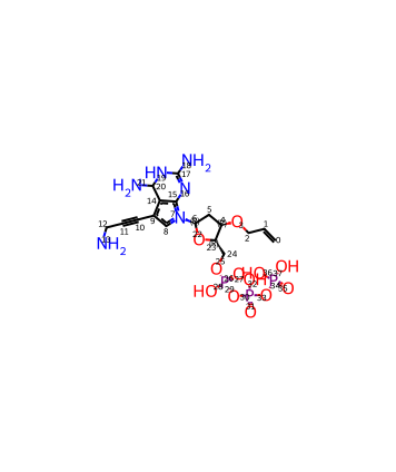 C=CCO[C@@H]1C[C@H](n2cc(C#CCN)c3c2N=C(N)NC3N)O[C@@H]1COP(=O)(O)OP(=O)(O)OP(=O)(O)O